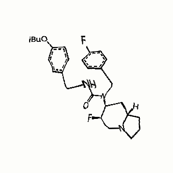 CC(C)COc1ccc(CNC(=O)N(Cc2ccc(F)cc2)[C@H]2C[C@@H]3CCCN3C[C@H]2F)cc1